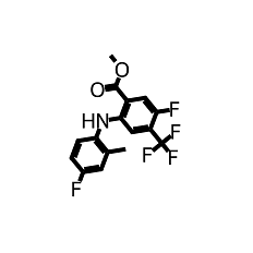 COC(=O)c1cc(F)c(C(F)(F)F)cc1Nc1ccc(F)cc1C